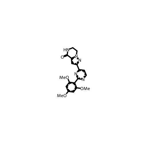 COc1cc(OC)c(-c2nccc(-c3cc4n(n3)CCNC4=O)n2)c(OC)c1